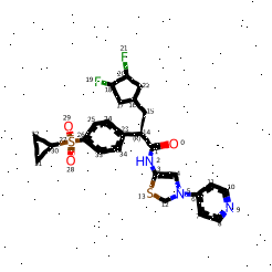 O=C(NC1=CN(c2ccncc2)CS1)[C@H](CC1CC(F)C(F)C1)c1ccc(S(=O)(=O)C2CC2)cc1